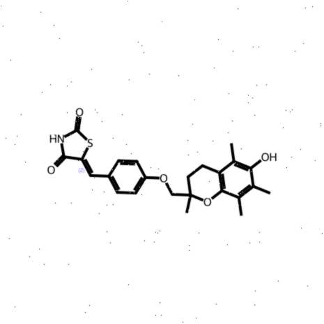 Cc1c(C)c2c(c(C)c1O)CCC(C)(COc1ccc(/C=C3\SC(=O)NC3=O)cc1)O2